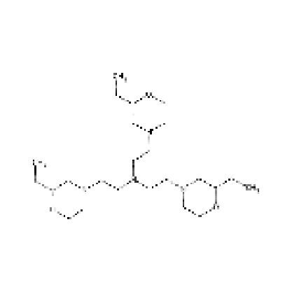 CCC1CN(CCN(CCN2CCOC(CC)C2)CCN2CCOC(CC)C2)CCO1